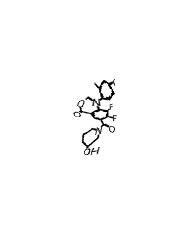 Cc1cc(I)ccc1N1COC(=O)c2cc(C(=O)N3CCCC(O)C3)c(F)c(F)c21